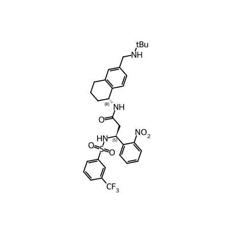 CC(C)(C)NCc1ccc2c(c1)CCC[C@H]2NC(=O)C[C@H](NS(=O)(=O)c1cccc(C(F)(F)F)c1)c1ccccc1[N+](=O)[O-]